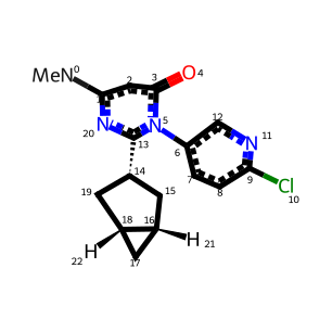 CNc1cc(=O)n(-c2ccc(Cl)nc2)c([C@@H]2C[C@@H]3C[C@@H]3C2)n1